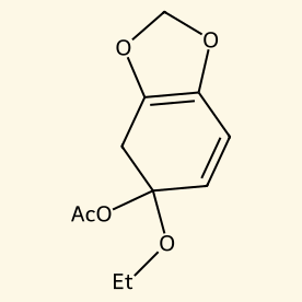 CCOC1(OC(C)=O)C=CC2=C(C1)OCO2